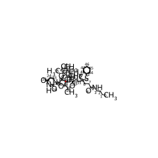 CCCCNC(=O)CCC(C)(CCC(=O)OC1[C@@H](CC)O[C@@H](n2ccc(=O)[nH]c2=O)[C@H]1O[Si](C(C)C)(C(C)C)C(C)C)Sc1ccccc1